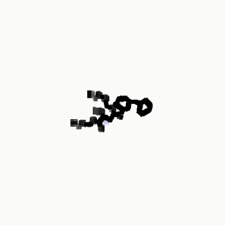 CCOC(=O)/C(O)=C/c1nc2cc(Cc3ccccc3)ccc2n1COC